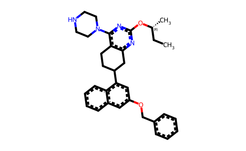 CC[C@@H](C)Oc1nc2c(c(N3CCNCC3)n1)CCC(c1cc(OCc3ccccc3)cc3ccccc13)C2